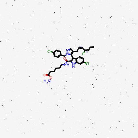 C=C/C=C(F)\C=C/Cc1cnn(Cc2ccc(Cl)cc2)c1-c1c(C(=O)NCCCCCC(=O)ON)[nH]c2cc(Cl)ccc12